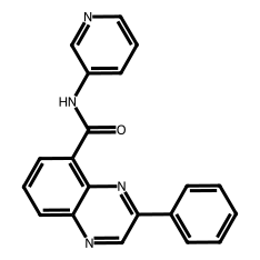 O=C(Nc1cccnc1)c1cccc2ncc(-c3ccccc3)nc12